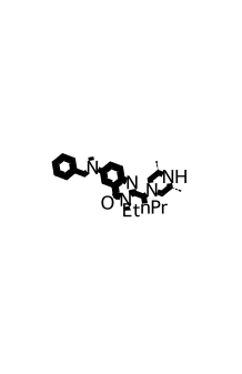 CCCC(c1nc2ccc(N(C)Cc3ccccc3)cc2c(=O)n1CC)N1C[C@@H](C)N[C@@H](C)C1